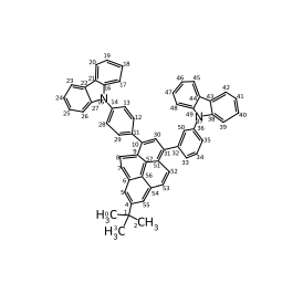 CC(C)(C)c1cc2ccc3c(-c4ccc(-n5c6ccccc6c6ccccc65)cc4)cc(-c4cccc(-n5c6ccccc6c6ccccc65)c4)c4ccc(c1)c2c34